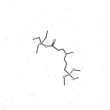 CC[Si](CC)(CC)OC(=O)CCN(C)CCC[Si](OC)(OC)OC